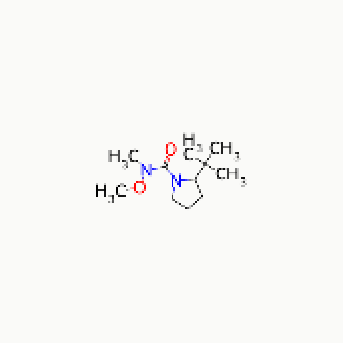 CON(C)C(=O)N1CCCC1C(C)(C)C